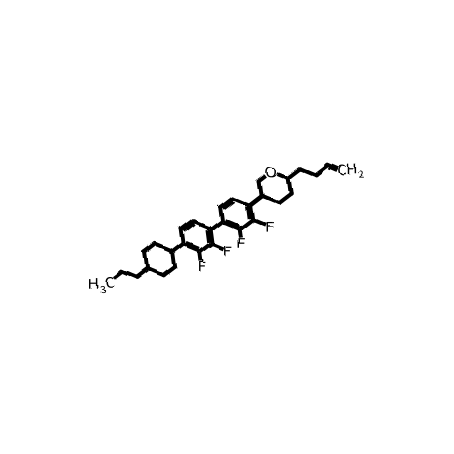 C=CCCC1CCC(c2ccc(-c3ccc(C4CCC(CCC)CC4)c(F)c3F)c(F)c2F)CO1